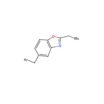 CC(=O)Cc1ccc2oc(CC(C)(C)C)nc2c1